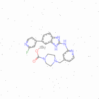 CC(C)(C)OC(=O)N1CCN(Cc2ccnc(Nc3nc4ccc(-c5ccnc(F)c5)cc4[nH]3)c2)CC1